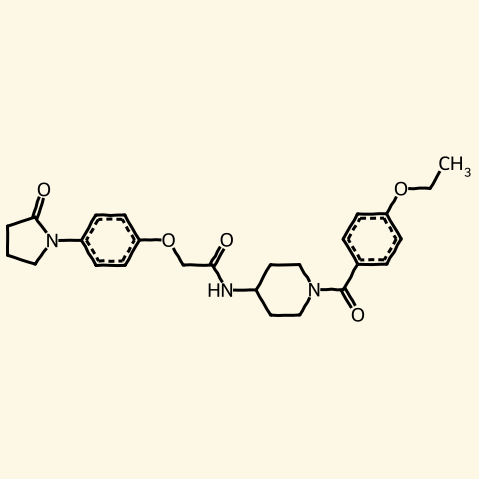 CCOc1ccc(C(=O)N2CCC(NC(=O)COc3ccc(N4CCCC4=O)cc3)CC2)cc1